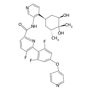 C[C@@H]1C[C@@H](c2ccncc2NC(=O)c2ccc(F)c(-c3c(F)cc(Oc4ccncc4)cc3F)n2)C[C@@H](O)[C@]1(C)O